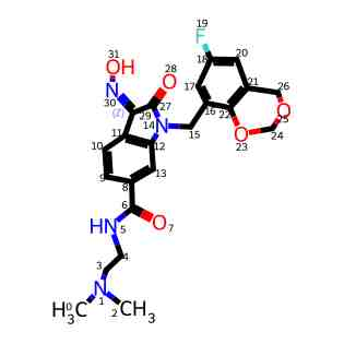 CN(C)CCNC(=O)c1ccc2c(c1)N(Cc1cc(F)cc3c1OCOC3)C(=O)/C2=N\O